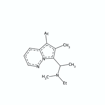 CCN(C)C(C)c1c(C)c(C(C)=O)c2cccnn12